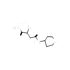 NC(=O)C(CC(=O)NC1CCOCC1)NC=O